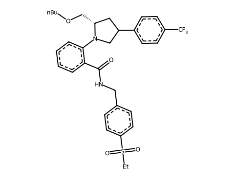 CCCCOC[C@@H]1CC(c2ccc(C(F)(F)F)cc2)CN1c1ccccc1C(=O)NCc1ccc(S(=O)(=O)CC)cc1